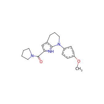 COc1ccc(N2CCCc3cc(C(=O)N4CCCC4)[nH]c32)cc1